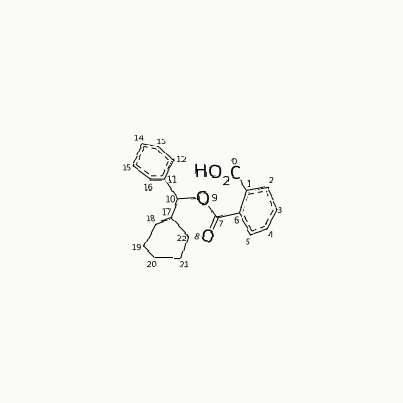 O=C(O)c1ccccc1C(=O)OC(c1ccccc1)C1CCCCC1